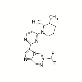 CC1CCCN(c2ccnc(-c3cnc4cnc(C(F)F)cn34)n2)C1C